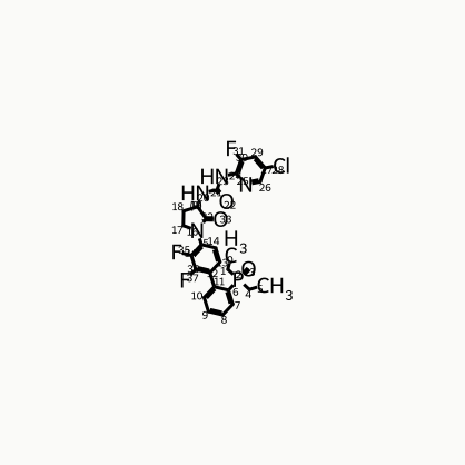 CCP(=O)(CC)c1ccccc1-c1ccc(N2CC[C@@H](NC(=O)Nc3ncc(Cl)cc3F)C2=O)c(F)c1F